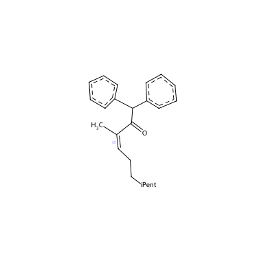 CCCC(C)CC/C=C(/C)C(=O)C(c1ccccc1)c1ccccc1